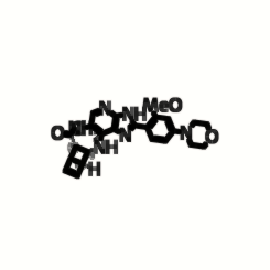 COc1cc(N2CCOCC2)ccc1-c1nc2c(N[C@@H]3[C@H]4C=CC4[C@@H]3C(N)=O)c(Cl)cnc2[nH]1